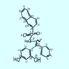 O=S(=O)(NN=C(c1ccccc1)c1ccc(O)cc1O)c1ccc2ccccc2c1